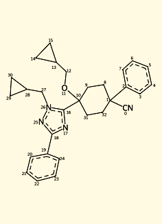 N#CC1(c2ccccc2)CCC(OCC2CC2)(c2nc(-c3ccccc3)nn2CC2CC2)CC1